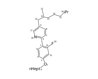 CCCCCCCOc1ccc(-c2ccc(CC(C)CCCC(C)C)cn2)c(F)c1